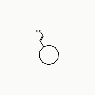 CC=CC1CCCCCCCCC1